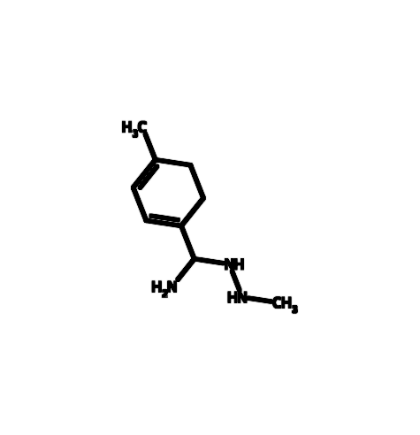 CNNC(N)C1=CC=C(C)CC1